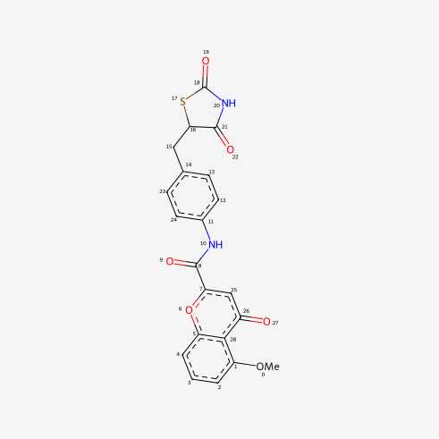 COc1cccc2oc(C(=O)Nc3ccc(CC4SC(=O)NC4=O)cc3)cc(=O)c12